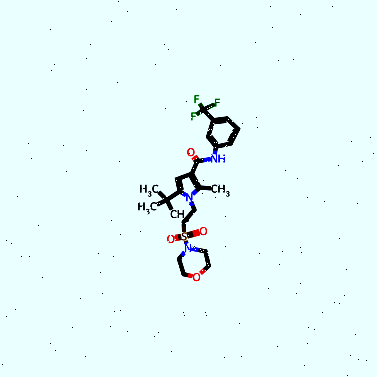 Cc1c(C(=O)Nc2cccc(C(F)(F)F)c2)cc(C(C)(C)C)n1CCS(=O)(=O)N1CCOCC1